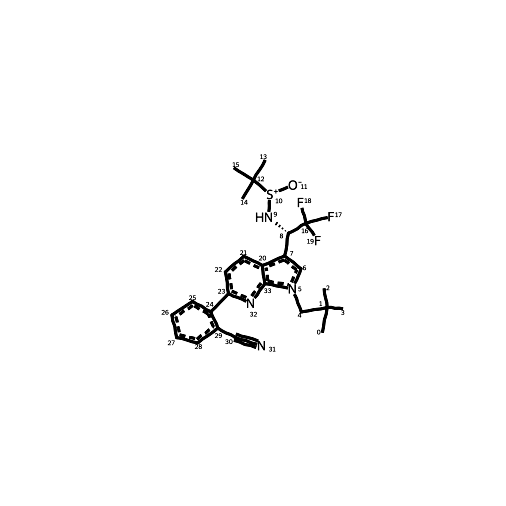 CC(C)(C)Cn1cc([C@H](N[S+]([O-])C(C)(C)C)C(F)(F)F)c2ccc(-c3ccccc3C#N)nc21